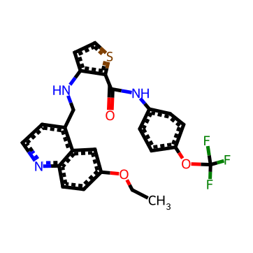 CCOc1ccc2nccc(CNc3ccsc3C(=O)Nc3ccc(OC(F)(F)F)cc3)c2c1